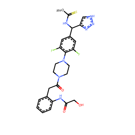 COC(=S)NC(c1cc(F)c(N2CCN(C(=O)Cc3ccccc3NC(=O)CO)CC2)c(F)c1)c1c[nH]nn1